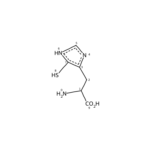 NC(Cc1nc[nH]c1S)C(=O)O